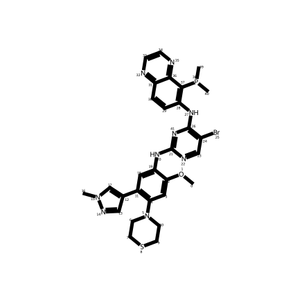 COc1cc(N2CCSCC2)c(-c2cnn(C)c2)cc1Nc1ncc(Br)c(Nc2ccc3nccnc3c2P(C)C)n1